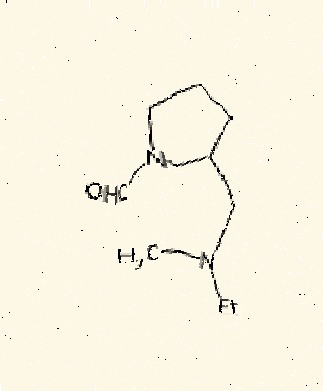 CCN(C)CC1CCCN1C=O